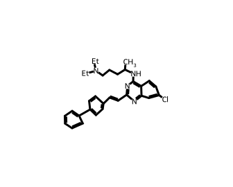 CCN(CC)CCCC(C)Nc1nc(/C=C/c2ccc(-c3ccccc3)cc2)nc2cc(Cl)ccc12